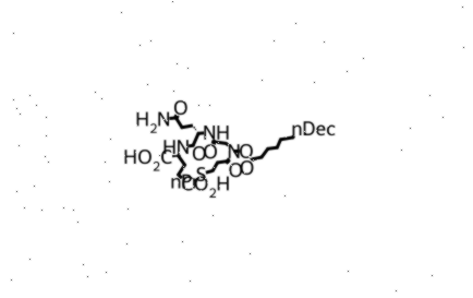 CCCCCCCCCCCCCCCC(=O)ON(CC(=O)N[C@@H](CCC(N)=O)C(=O)N[C@@H](CCC(=O)O)C(=O)O)C(=O)CCSCCC